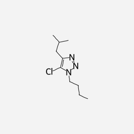 CCCCn1nnc(CC(C)C)c1Cl